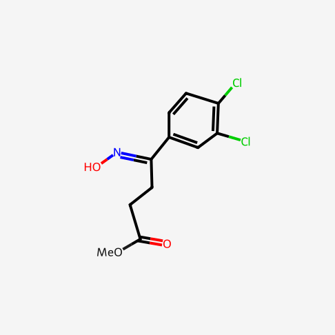 COC(=O)CC/C(=N\O)c1ccc(Cl)c(Cl)c1